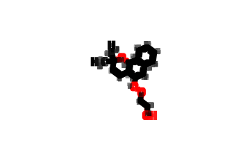 BC1(C)C=Cc2c(OOCCO)cc3ccccc3c2O1